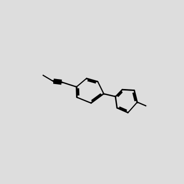 CCCC#Cc1ccc(-c2ccc(Cl)cc2)cc1